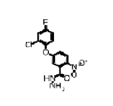 NNC(=O)c1cc(Oc2ccc(F)cc2Cl)ccc1[N+](=O)[O-]